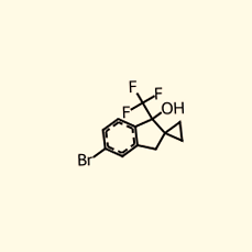 OC1(C(F)(F)F)c2ccc(Br)cc2CC12CC2